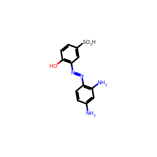 Nc1ccc(/N=N/c2cc(S(=O)(=O)O)ccc2O)c(N)c1